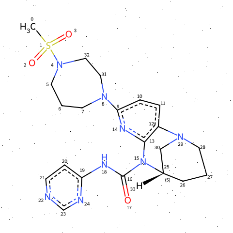 CS(=O)(=O)N1CCCN(c2ccc3c(n2)N(C(=O)Nc2ccncn2)[C@H]2CCCN3C2)CC1